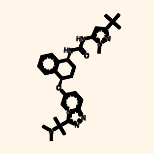 CN(C)C(C)(C)c1nnc2ccc(O[C@@H]3CC[C@H](NC(=O)Nc4cc(C(C)(C)C)nn4C)c4ccccc43)cn12